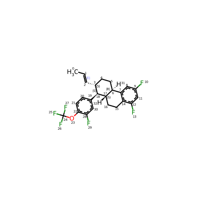 C/C=C/[C@@H]1CC[C@H]2c3cc(F)cc(F)c3CC[C@@H]2[C@H]1c1ccc(OC(F)(F)F)c(F)c1